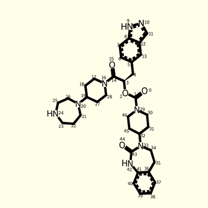 O=C(O[C@H](Cc1ccc2[nH]ncc2c1)C(=O)N1CCC(N2CCCNCC2)CC1)N1CCC(N2CCc3ccccc3NC2=O)CC1